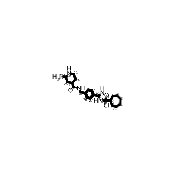 CC1(C2CCCCCC2)NC(c2ccc(CNC(=O)C3CCNC(N)C3)cc2)NO1